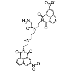 NCC(=O)N(CCCNCCN1C(=O)c2cccc3cc([N+](=O)[O-])cc(c23)C1=O)CCN1C(=O)c2cccc3cc([N+](=O)[O-])cc(c23)C1=O